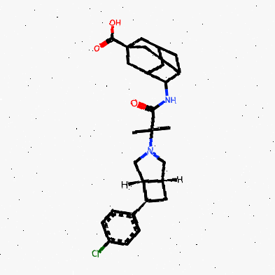 CC(C)(C(=O)NC1C2CC3CC1CC(C(=O)O)(C3)C2)N1C[C@@H]2C[C@@H](c3ccc(Cl)cc3)[C@@H]2C1